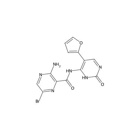 Nc1ncc(Br)nc1C(=O)Nc1[nH]c(=O)ncc1-c1ccco1